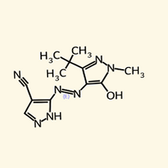 Cn1nc(C(C)(C)C)c(/N=N/c2[nH]ncc2C#N)c1O